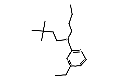 CCCCN(CCC(C)(C)C)c1nccc(CC)n1